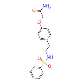 NC(=O)COc1ccc(CCNS(=O)(=O)c2ccccc2)cc1